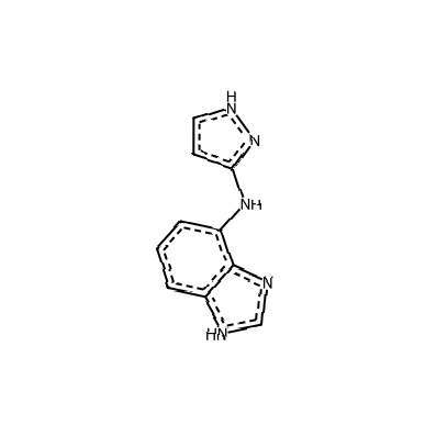 c1cc(Nc2cc[nH]n2)c2nc[nH]c2c1